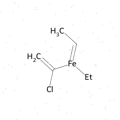 C=[C](Cl)[Fe](=[CH]C)[CH2]C